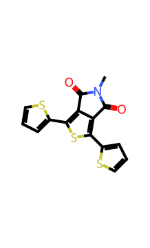 CN1C(=O)c2c(-c3cccs3)sc(-c3cccs3)c2C1=O